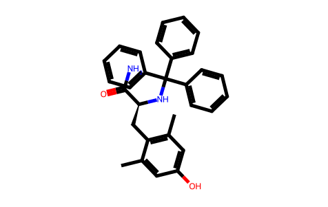 Cc1cc(O)cc(C)c1C[C@H](NC(c1ccccc1)(c1ccccc1)c1ccccc1)C(N)=O